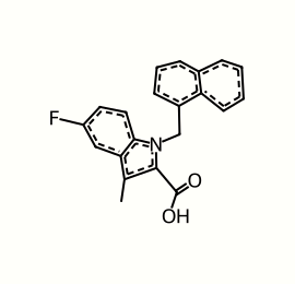 Cc1c(C(=O)O)n(Cc2cccc3ccccc23)c2ccc(F)cc12